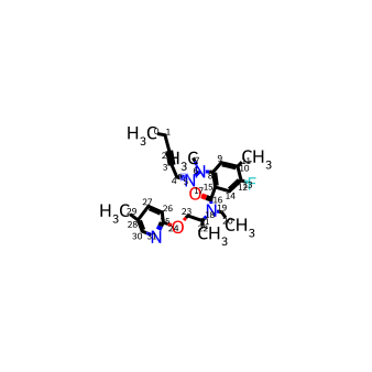 CCC#C/C=N\N(C)c1cc(C)c(F)cc1C(=O)N(CC)C(C)COc1ccc(C)cn1